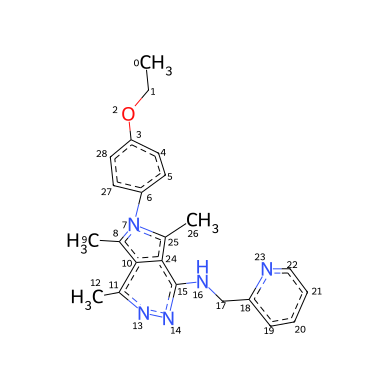 CCOc1ccc(-n2c(C)c3c(C)nnc(NCc4ccccn4)c3c2C)cc1